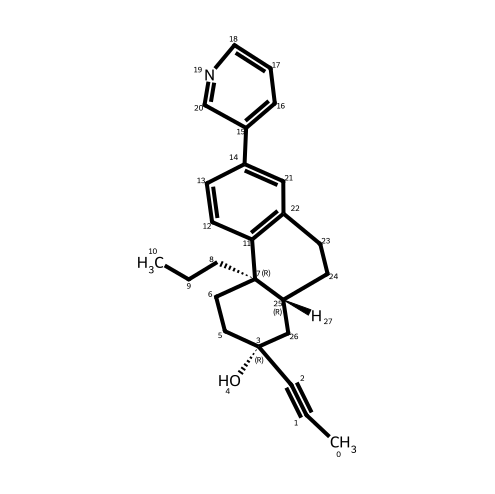 CC#C[C@@]1(O)CC[C@@]2(CCC)c3ccc(-c4cccnc4)cc3CC[C@@H]2C1